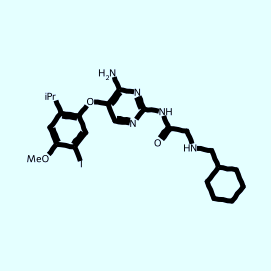 COc1cc(C(C)C)c(Oc2cnc(NC(=O)CNCC3CCCCC3)nc2N)cc1I